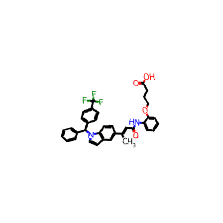 CC(=CC(=O)Nc1ccccc1OCCCC(=O)O)c1ccc2c(ccn2C(c2ccccc2)c2ccc(C(F)(F)F)cc2)c1